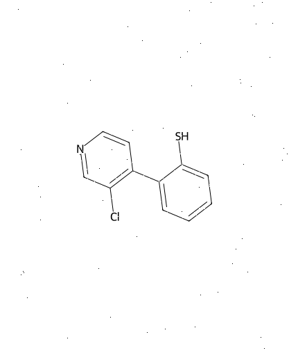 Sc1ccccc1-c1ccncc1Cl